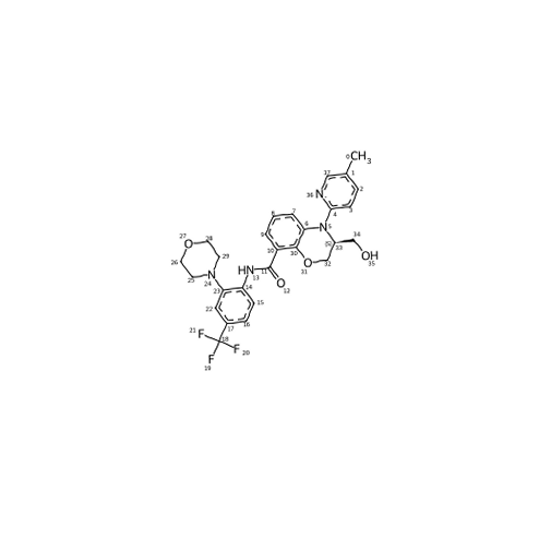 Cc1ccc(N2c3cccc(C(=O)Nc4ccc(C(F)(F)F)cc4N4CCOCC4)c3OC[C@@H]2CO)nc1